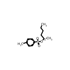 CCCC[C@H](C)OS(=O)(=O)c1ccc(C)cc1